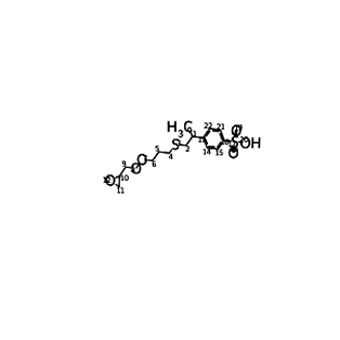 CC(CSCCCOOCC1CO1)c1ccc(S(=O)(=O)O)cc1